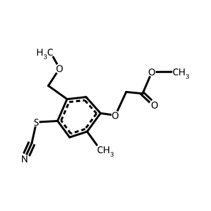 COCc1cc(OCC(=O)OC)c(C)cc1SC#N